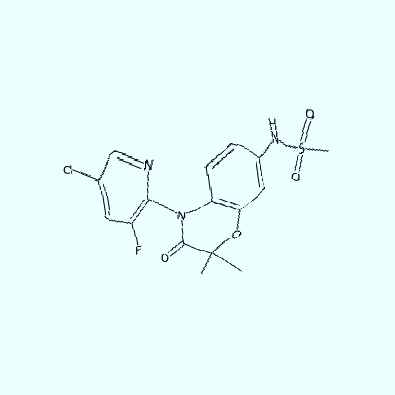 CC1(C)Oc2cc(NS(C)(=O)=O)ccc2N(c2ncc(Cl)cc2F)C1=O